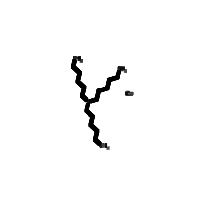 CCCCCCP(CCCCCC)CCCCCC.[Cu]